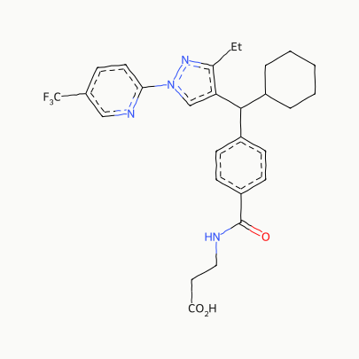 CCc1nn(-c2ccc(C(F)(F)F)cn2)cc1C(c1ccc(C(=O)NCCC(=O)O)cc1)C1CCCCC1